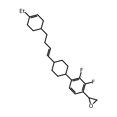 CCC1=CCC(CC/C=C/C2CCC(c3ccc(C4CO4)c(F)c3F)CC2)CC1